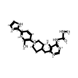 CCNC(=O)Nc1ncnc(CC2CCN(c3ccc(-c4ncc[nH]4)nc3C#N)CC2)c1F